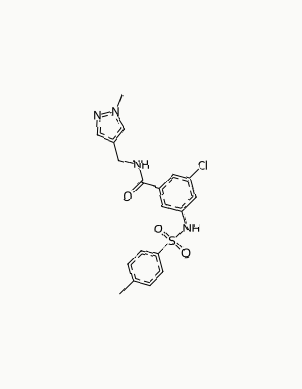 Cc1ccc(S(=O)(=O)Nc2cc(Cl)cc(C(=O)NCc3cnn(C)c3)c2)cc1